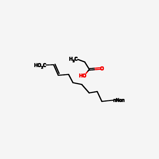 CCC(=O)O.CCCCCCCCCCCCCCCC=CC(=O)O